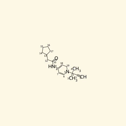 C#CC(C)(C)N1C=CC(NC(=O)CC2CCCC2)=CC1